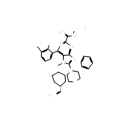 C=C[C@H]1CC[C@H](Cn2c(N3CCOC[C@H]3c3ccccc3)nc3nc(C(=N)NC(=O)O)nc(-c4cccc(Cl)c4F)c32)CC1